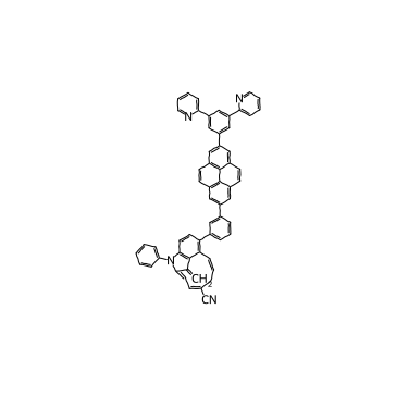 C=c1/c2n(-c3ccccc3)c3ccc(-c4cccc(-c5cc6ccc7cc(-c8cc(-c9ccccn9)cc(-c9ccccn9)c8)cc8ccc(c5)c6c78)c4)c(c13)/C=C\C/C(C#N)=C\C=2